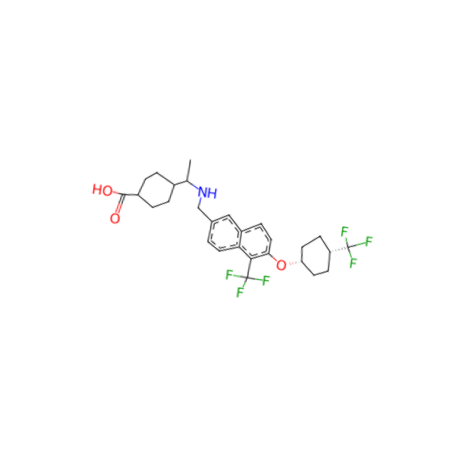 CC(NCc1ccc2c(C(F)(F)F)c(O[C@H]3CC[C@@H](C(F)(F)F)CC3)ccc2c1)C1CCC(C(=O)O)CC1